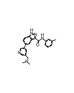 Cc1cccc(NC(=O)c2n[nH]c3ccc(-c4cncc(CN(C)C)c4)cc23)c1